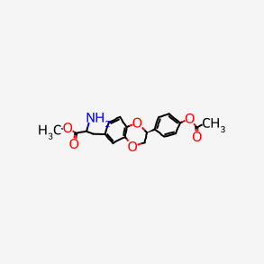 COC(=O)C(N)Cc1ccc2c(c1)OC[C@H](c1ccc(OC(C)=O)cc1)O2